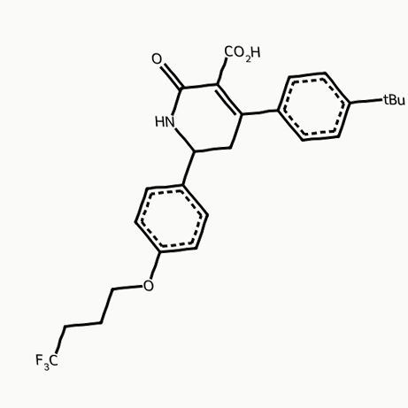 CC(C)(C)c1ccc(C2=C(C(=O)O)C(=O)NC(c3ccc(OCCCC(F)(F)F)cc3)C2)cc1